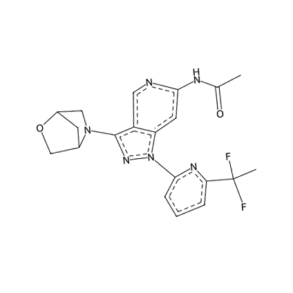 CC(=O)Nc1cc2c(cn1)c(N1CC3CC1CO3)nn2-c1cccc(C(C)(F)F)n1